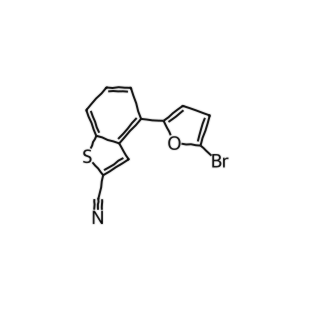 N#Cc1cc2c(-c3ccc(Br)o3)cccc2s1